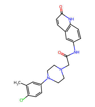 Cc1cc(N2CCN(CC(=O)Nc3ccc4[nH]c(=O)ccc4c3)CC2)ccc1Cl